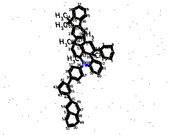 CC1C=C(c2ccccc2)C2(C)C3=C1C(C)(c1ccc4c(c1)C(C)(C)c1ccccc1-4)C=CC3(C)N(c1ccc(-c3cccc(-c4ccc5ccccc5c4)c3)cc1)c1ccccc12